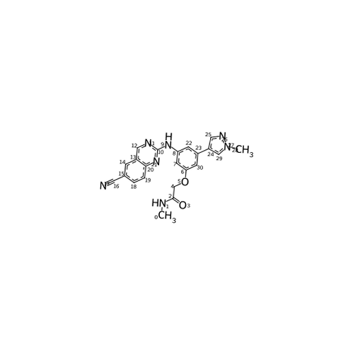 CNC(=O)COc1cc(Nc2ncc3cc(C#N)ccc3n2)cc(-c2cnn(C)c2)c1